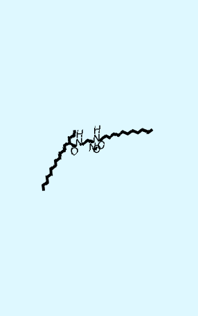 CCCCCCCCCCCCC(CCC)C(=O)NCCC(N=O)NC(=O)CCCCCCCCCCC